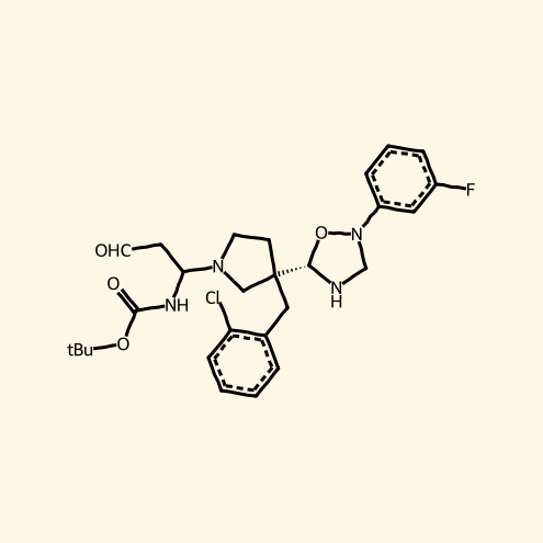 CC(C)(C)OC(=O)NC(CC=O)N1CCC(Cc2ccccc2Cl)([C@H]2NCN(c3cccc(F)c3)O2)C1